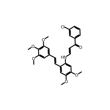 COc1cc(C=Cc2cc(OC)c(OC)c(OC)c2)c(NC=CC(=O)c2cccc(Cl)c2)cc1OC